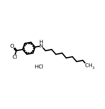 CCCCCCCCCNc1ccc(C(=O)Cl)cc1.Cl